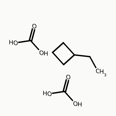 CCC1CCC1.O=C(O)O.O=C(O)O